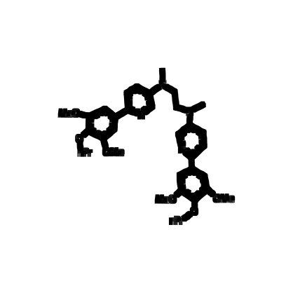 CCCOc1c(OC)cc(-c2ccc(N(C)CCN(C)c3ccc(-c4cc(OC)c(OCCC)c(OC)c4)nc3)cn2)cc1OC